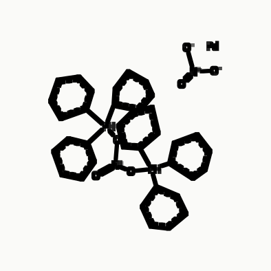 O=[N+](O[PH](c1ccccc1)(c1ccccc1)c1ccccc1)O[PH](c1ccccc1)(c1ccccc1)c1ccccc1.O=[N+]([O-])[O-].[Pd]